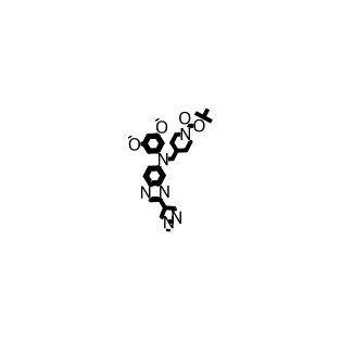 COc1cc(OC)cc(N(CC2CCN(C(=O)OC(C)(C)C)CC2)c2ccc3ncc(C4C=NN(C)C4)nc3c2)c1